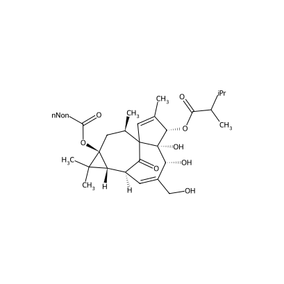 CCCCCCCCCC(=O)O[C@@]12C[C@@H](C)C34C=C(C)[C@H](OC(=O)C(C)C(C)C)[C@@]3(O)[C@H](O)C(CO)=C[C@H](C4=O)[C@@H]1C2(C)C